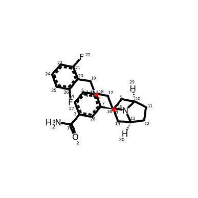 NC(=O)c1cccc([C@H]2C[C@H]3CC[C@@H](C2)N3CCNCc2c(F)cccc2F)c1